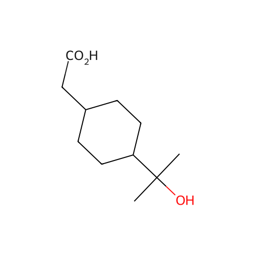 CC(C)(O)C1CCC(CC(=O)O)CC1